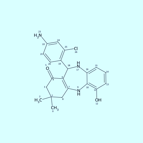 CC1(C)CC(=O)C2=C(C1)Nc1c(O)cccc1NC2c1ccc(N)cc1Cl